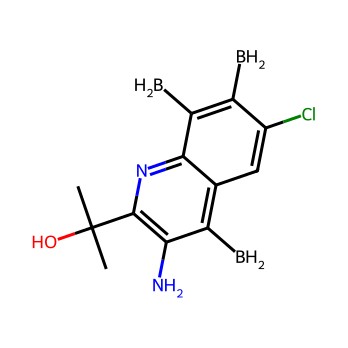 Bc1c(Cl)cc2c(B)c(N)c(C(C)(C)O)nc2c1B